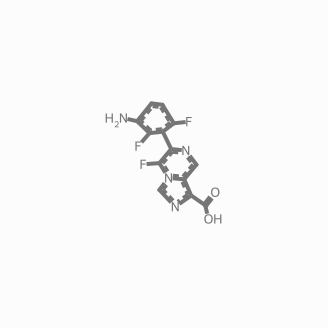 Nc1ccc(F)c(-c2ncc3c(C(=O)O)ncn3c2F)c1F